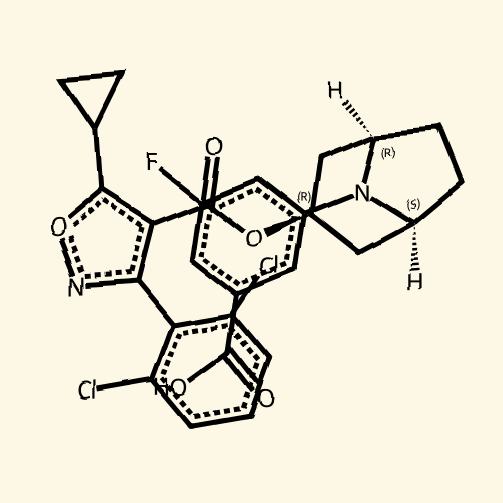 O=C(O)c1cc(F)cc(N2[C@@H]3CC[C@H]2C[C@@H](OC(=O)c2c(-c4c(Cl)cccc4Cl)noc2C2CC2)C3)c1